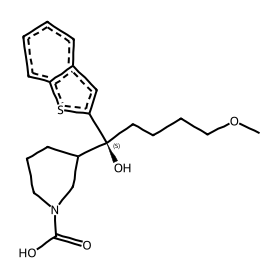 COCCCC[C@@](O)(c1cc2ccccc2s1)C1CCCN(C(=O)O)C1